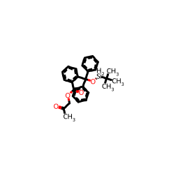 CC(=O)COC(=O)c1ccccc1C(O[SiH2]C(C)(C)C)(c1ccccc1)c1ccccc1